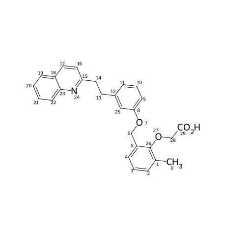 Cc1cccc(COc2cccc(CCc3ccc4ccccc4n3)c2)c1OCC(=O)O